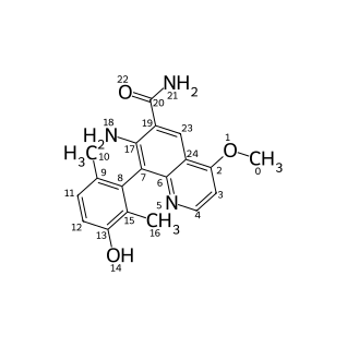 COc1ccnc2c(-c3c(C)ccc(O)c3C)c(N)c(C(N)=O)cc12